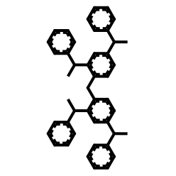 CC(c1ccccc1)c1ccc(Cc2ccc(C(C)c3ccccc3)cc2C(C)c2ccccc2)c(C(C)c2ccccc2)c1